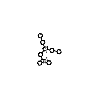 c1ccc(-c2ccc(-c3cc(-c4cccc(-c5c6ccccc6n6c5sc5ccccc56)c4)nc(-c4ccc(-c5ccccc5)cc4)n3)cc2)cc1